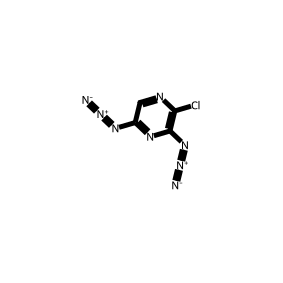 [N-]=[N+]=Nc1cnc(Cl)c(N=[N+]=[N-])n1